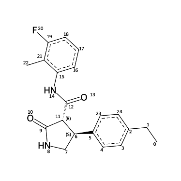 CCc1ccc([C@H]2CNC(=O)[C@@H]2C(=O)Nc2cccc(F)c2C)cc1